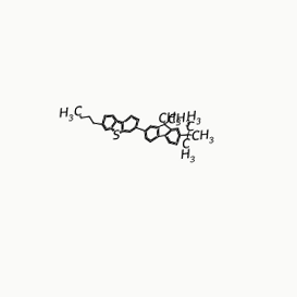 CCCCc1ccc2c(c1)sc1cc(-c3ccc4c(c3)C(C)(C)c3cc(C(C)(C)C)ccc3-4)ccc12